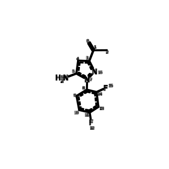 C=C(C)c1cc(N)n(-c2ccc(F)cc2F)n1